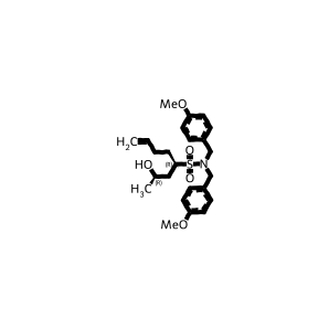 C=CCC[C@H](C[C@@H](C)O)S(=O)(=O)N(Cc1ccc(OC)cc1)Cc1ccc(OC)cc1